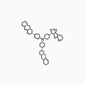 c1ccc2cc3cc(-c4ccc(N(c5ccc(-c6ccc7cc8ccccc8cc7c6)cc5)c5ccc(-c6ncnc7c6sc6ncccc67)cc5)cc4)ccc3cc2c1